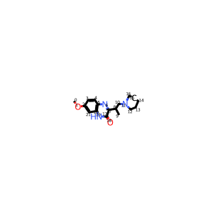 COc1ccc2nc(C(C)CN3CC[CH]CC3)c(=O)[nH]c2c1